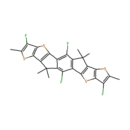 Cc1sc2c3c(sc2c1F)-c1c(F)c2c(c(F)c1C3(C)C)-c1sc3c(F)c(C)sc3c1C2(C)C